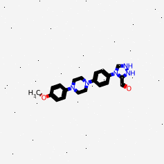 COc1ccc(N2CCN(c3ccc(N4CNNC4C=O)cc3)CC2)cc1